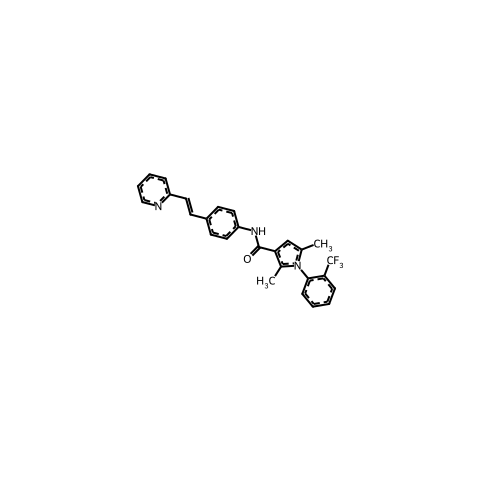 Cc1cc(C(=O)Nc2ccc(C=Cc3ccccn3)cc2)c(C)n1-c1ccccc1C(F)(F)F